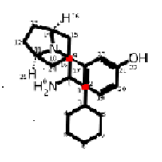 NC(CC1CCCCC1)CN1[C@@H]2CC[C@H]1C[C@@H](c1cccc(O)c1)C2